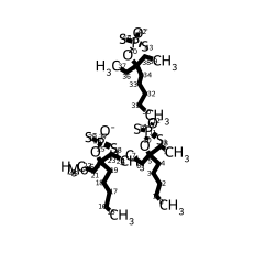 CCCCCC(CC)(CC)OP([O-])(=S)[S-].CCCCCC(CC)(CC)OP([O-])(=S)[S-].CCCCCC(CC)(CC)OP([O-])(=S)[S-].[Mo+6]